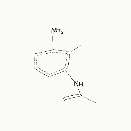 C=C(C)Nc1cccc(N)c1C